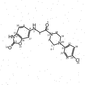 C[C@@H]1CN(C(=O)CNc2ccc3[nH]c(=O)oc3c2)CCN1c1ccc(Cl)cc1